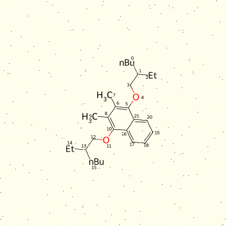 CCCCC(CC)COc1c(C)c(C)c(OCC(CC)CCCC)c2ccccc12